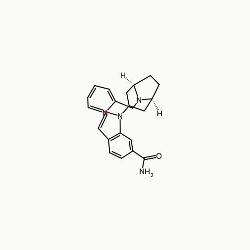 NC(=O)c1ccc2ccn(C3C[C@H]4CC[C@@H](C3)N4Cc3ccccn3)c2c1